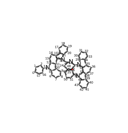 c1ccc(-n2c3ccccc3c3c2ccc2c4ccccc4n(-c4cccc(-n5c6ccccc6c6ccc7c8ccccc8n(-c8ccccc8)c7c65)n4)c23)cc1